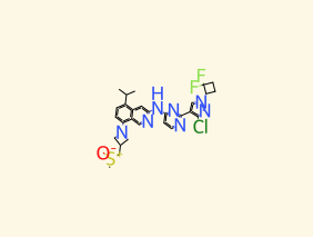 CC(C)c1ccc(N2CC(C[S+](C)[O-])C2)c2cnc(Nc3ccnc(-c4cn(C5CCC5(F)F)nc4Cl)n3)cc12